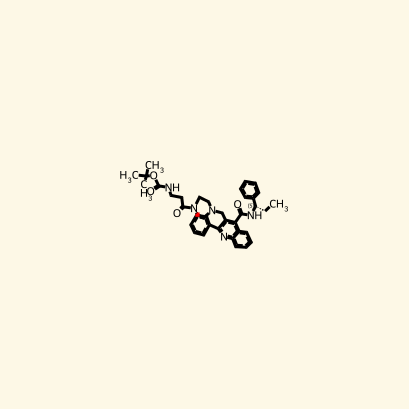 CC[C@H](NC(=O)c1c(CN2CCN(C(=O)CCNC(=O)OC(C)(C)C)CC2)c(-c2ccccc2)nc2ccccc12)c1ccccc1